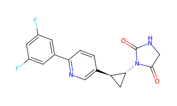 O=C1CNC(=O)N1[C@@H]1C[C@H]1c1ccc(-c2cc(F)cc(F)c2)nc1